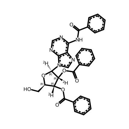 [2H][C@]1(OC(=O)c2ccccc2)[C@]([2H])(n2cnc3c(NC(=O)c4ccccc4)ncnc32)O[C@H](CO)[C@@]1([2H])OC(=O)c1ccccc1